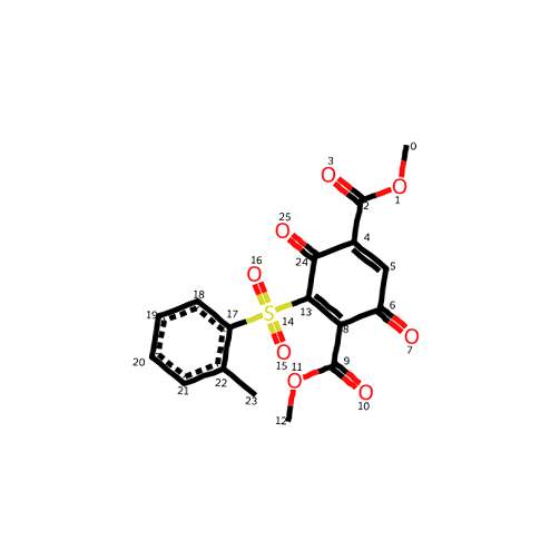 COC(=O)C1=CC(=O)C(C(=O)OC)=C(S(=O)(=O)c2ccccc2C)C1=O